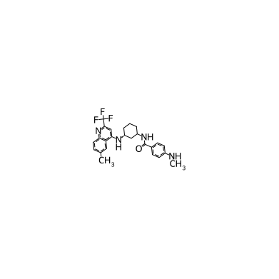 CNc1ccc(C(=O)NC2CCC[C@H](Nc3cc(C(F)(F)F)nc4ccc(C)cc34)C2)cc1